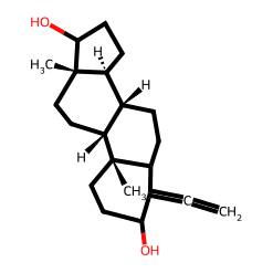 C=C=C1C(O)CC[C@@]2(C)C1CC[C@@H]1[C@H]2CC[C@]2(C)C(O)CC[C@@H]12